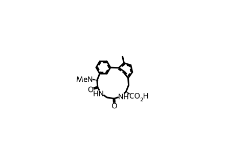 CN[C@@H]1C(=O)NCC(=O)N[C@H](C(=O)O)Cc2ccc(C)c(c2)-c2cccc1c2